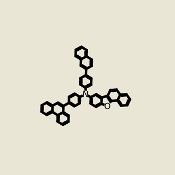 c1ccc2cc(-c3ccc(N(c4ccc(-c5cc6ccccc6c6ccccc56)cc4)c4ccc5oc6c7ccccc7ccc6c5c4)cc3)ccc2c1